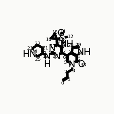 C=CCCn1cc(-c2cc(C3(S(C)(=N)=O)CC3)nc(NC3CCCNC3)n2)c2cc[nH]c2c1=O